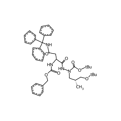 C[C@@H](COC(C)(C)C)CN(NC(=O)C(CC(=O)NC(c1ccccc1)(c1ccccc1)c1ccccc1)NC(=O)OCc1ccccc1)C(=O)OC(C)(C)C